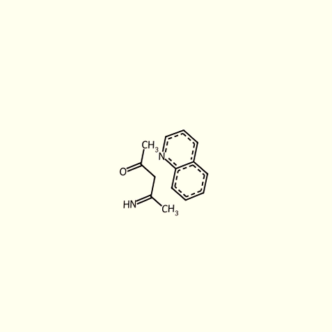 CC(=N)CC(C)=O.c1ccc2ncccc2c1